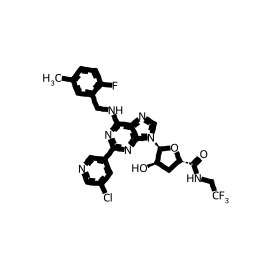 Cc1ccc(F)c(CNc2nc(-c3cncc(Cl)c3)nc3c2ncn3[C@@H]2O[C@H](C(=O)NCC(F)(F)F)C[C@H]2O)c1